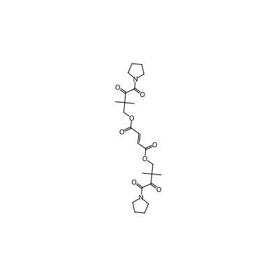 CC(C)(COC(=O)/C=C/C(=O)OCC(C)(C)C(=O)C(=O)N1CCCC1)C(=O)C(=O)N1CCCC1